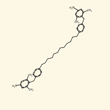 Cc1cc(N)cc(C)c1Cc1ccc(CCCCCCCCCCCCc2ccc(Cc3c(C)cc(N)cc3C)cc2)cc1